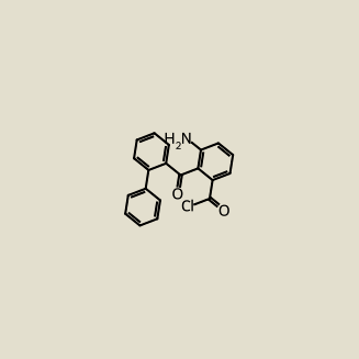 Nc1cccc(C(=O)Cl)c1C(=O)c1ccccc1-c1ccccc1